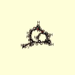 CCCC[C@@H]1NC(=O)c2cc3cc(c2)C(=O)NC[C@@H](C(=O)N[C@@H](CCCCNC(F)(I)I)C(N)=O)NC(=O)CNC(=O)CNC(=O)CNC(=O)[C@@H](Cc2c[nH]cn2)NC(=O)CNC(=O)[C@H](CCCCNC3=O)NC(=O)[C@@H](CO)NC(=O)[C@H](Cc2ccc(O)cc2)NC1=O